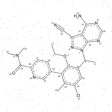 CCOc1c(C(C)n2nc(C#N)c3c(N)ncnc32)cc(Cl)c(C)c1-c1ccc(C(=O)N(C)C)nc1